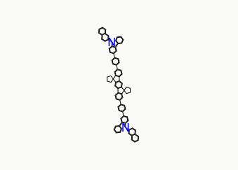 c1ccc2cc(-n3c4ccccc4c4cc(-c5ccc(-c6ccc7c(c6)C6(CCCC6)c6cc8c(cc6-7)C6(CCCC6)c6cc(-c7ccc(-c9ccc%10c(c9)c9ccccc9n%10-c9ccc%10ccccc%10c9)cc7)ccc6-8)cc5)ccc43)ccc2c1